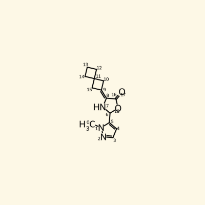 Cn1nccc1C1NC(=C2CC3(CCC3)C2)C(=O)O1